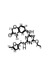 CCOc1nc(NCc2ccc(C)o2)nc(Nc2ccc3c(c2)N(C)C(=O)CO3)n1